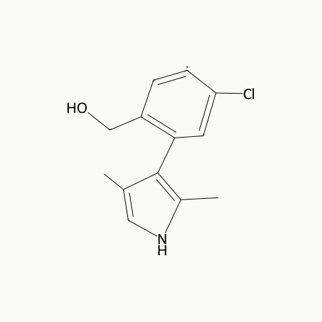 Cc1c[nH]c(C)c1-c1cc(Cl)[c]cc1CO